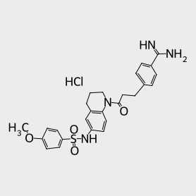 COc1ccc(S(=O)(=O)Nc2ccc3c(c2)CCCN3C(=O)CCc2ccc(C(=N)N)cc2)cc1.Cl